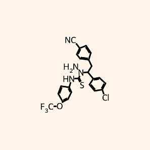 N#Cc1ccc(CC(c2ccc(Cl)cc2)N(N)C(=S)Nc2ccc(OC(F)(F)F)cc2)cc1